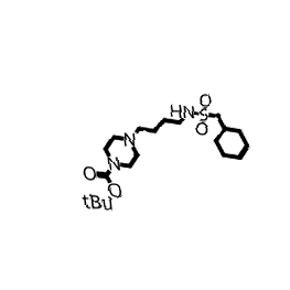 CC(C)(C)OC(=O)N1CCN(CCCCNS(=O)(=O)CC2CCCCC2)CC1